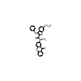 CN(C(=O)c1sc2cc(C(=O)O)ccc2c1Sc1ccccc1)c1ccc2sc3ccccc3c(=O)c2c1